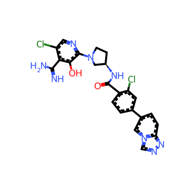 N=C(N)c1c(Cl)cnc(N2CC[C@@H](NC(=O)c3ccc(-c4ccc5nncn5c4)cc3Cl)C2)c1O